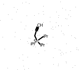 C#C[CH2][Sn]([CH](C)C)([CH](C)C)[CH](C)C